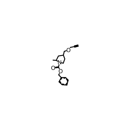 C#CCOCC1CCN(C(=O)OCc2ccccc2)C(C)C1